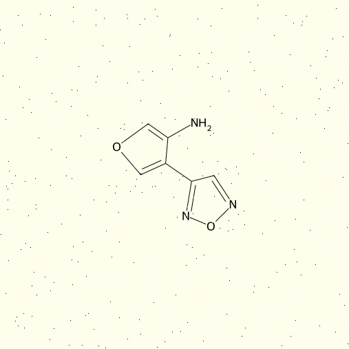 Nc1cocc1-c1cnon1